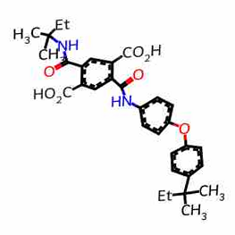 CCC(C)(C)NC(=O)c1cc(C(=O)O)c(C(=O)Nc2ccc(Oc3ccc(C(C)(C)CC)cc3)cc2)cc1C(=O)O